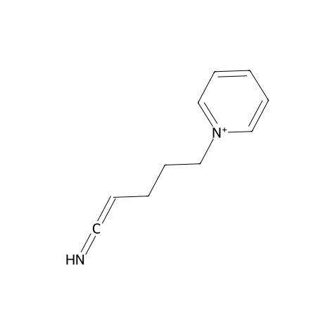 N=C=CCCC[n+]1ccccc1